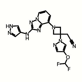 N#CCC1(n2cc(OC(F)F)cn2)CN(c2cccn3nc(Nc4cn[nH]c4)nc23)C1